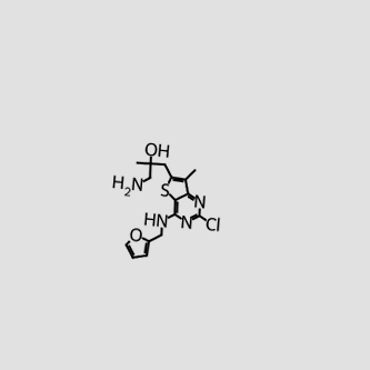 Cc1c(CC(C)(O)CN)sc2c(NCc3ccco3)nc(Cl)nc12